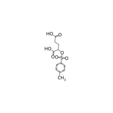 Cc1ccc(S(=O)(=O)OC(CCC(=O)O)C(=O)O)cc1